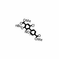 CCCCOc1c(C(=O)OC)cc(Cl)c(-c2ccc(C(=O)OC)cc2)c1[N+](=O)[O-]